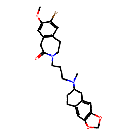 COc1cc2c(cc1Br)CCN(CCCN(C)C1CCc3cc4c(cc3C1)OCO4)C(=O)C2